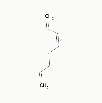 C=C/C=C\CCC=C